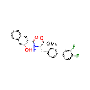 COC(=O)[C@H](Cc1ccc(-c2ccc(F)c(F)c2)cc1)NC(=O)c1cc2ccccc2cc1O